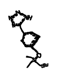 CC(C)(C)[Si](C)(C)Oc1ccc(-c2nnn[nH]2)cc1